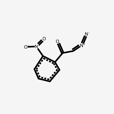 [N-]=[N+]=CC(=O)c1ccccc1[N+](=O)[O-]